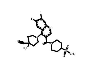 CC1(C#N)CCN(c2c(C(=O)N3CCC(S(C)(=O)=O)CC3)cnc3cc(F)c(F)cc23)CC1